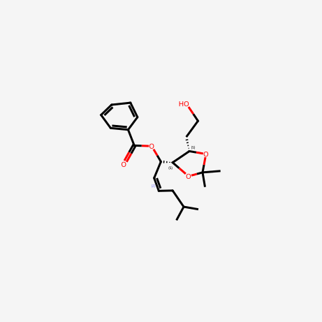 CC(C)C/C=C\C(OC(=O)c1ccccc1)[C@H]1OC(C)(C)O[C@H]1CCO